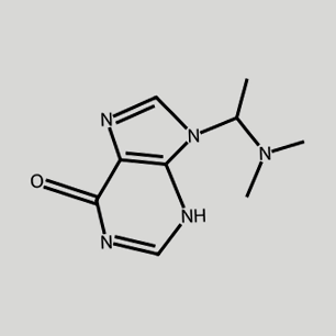 CC(N(C)C)n1cnc2c(=O)nc[nH]c21